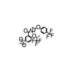 C[C@H](Oc1ccc(S(C)(=O)=O)cc1C(=O)N1CC(Oc2ccc(C(F)(F)F)cc2)C1)C(F)(F)F